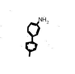 Cc1ccc(C2=CCC=C(N)C=C2)cc1